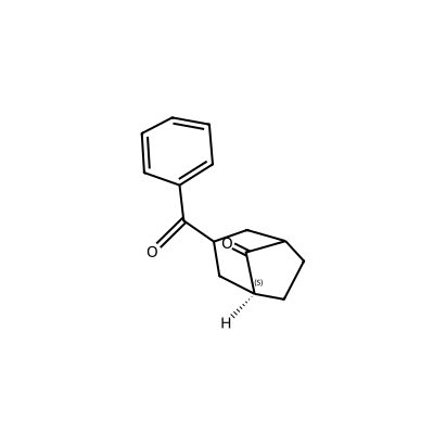 O=C(c1ccccc1)C1CC2CC[C@@H](C1)C2=O